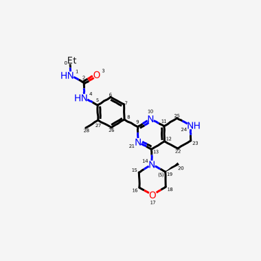 CCNC(=O)Nc1ccc(-c2nc3c(c(N4CCOC[C@@H]4C)n2)CCNC3)cc1C